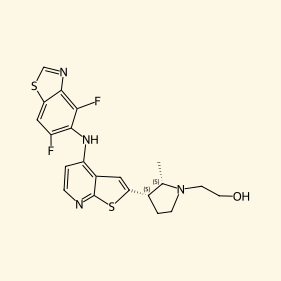 C[C@H]1[C@@H](c2cc3c(Nc4c(F)cc5scnc5c4F)ccnc3s2)CCN1CCO